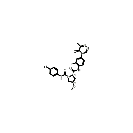 CO[C@@H]1C[C@H](C(=O)Nc2ccc(-n3cnnc(C)c3=O)cc2F)N(C(=O)Nc2ccc(Cl)cc2)C1